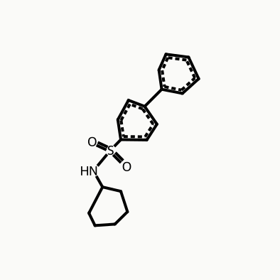 O=S(=O)(NC1CCCCC1)c1ccc(-c2ccccc2)cc1